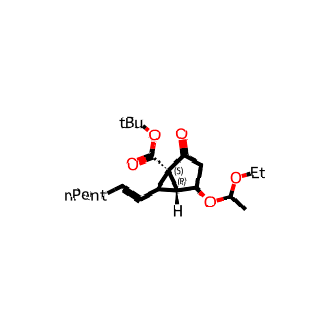 CCCCCC=CC1[C@H]2C(OC(C)OCC)CC(=O)[C@]12C(=O)OC(C)(C)C